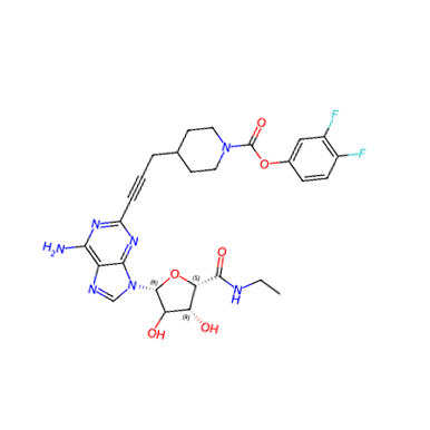 CCNC(=O)[C@H]1O[C@@H](n2cnc3c(N)nc(C#CCC4CCN(C(=O)Oc5ccc(F)c(F)c5)CC4)nc32)C(O)[C@H]1O